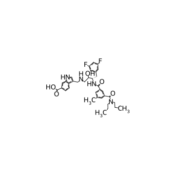 CCCN(CCC)C(=O)c1cc(C)cc(C(=O)N[C@@H](Cc2cc(F)cc(F)c2)[C@H](O)CNCc2c[nH]c3cc(C(=O)O)ccc23)c1